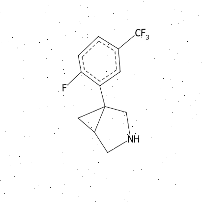 Fc1ccc(C(F)(F)F)cc1C12CNCC1C2